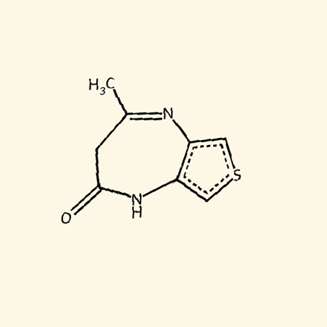 CC1=Nc2cscc2NC(=O)C1